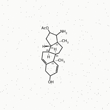 CC(=O)OC1C[C@H]2[C@@H]3CC=C4CC(O)C=C[C@]4(C)[C@@H]3CC[C@]2(C)C1N